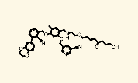 Cc1cc(CNCCOCC/C=C/C(=O)CCCO)c(OCc2cncc(C#N)c2)cc1OCc1cccc(-c2ccc3c(c2)OCCO3)c1C#N